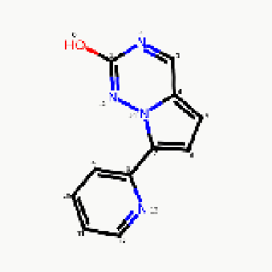 Oc1ncc2ccc(-c3ccccn3)n2n1